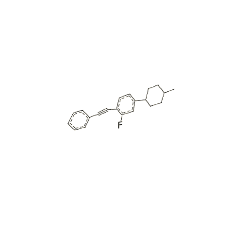 CC1CCC(c2ccc(C#Cc3ccccc3)c(F)c2)CC1